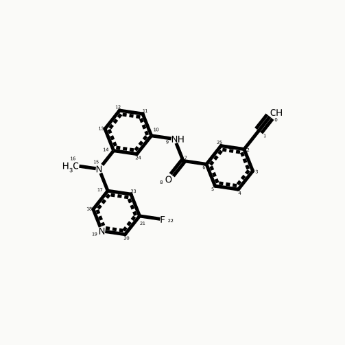 C#Cc1cccc(C(=O)Nc2cccc(N(C)c3cncc(F)c3)c2)c1